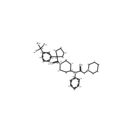 O=C(CN1CCCCC1)N(c1ccccc1)C1CCN(C(=O)C2(c3cccc(C(F)(F)F)c3)CCCC2)CC1